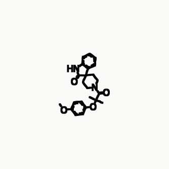 COc1ccc(OC(C)(C)C(=O)N2CCC3(CC2)C(=O)Nc2ccccc23)cc1